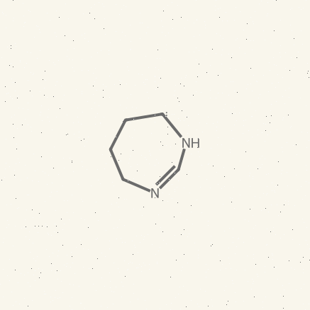 [C]1CCCN=CN1